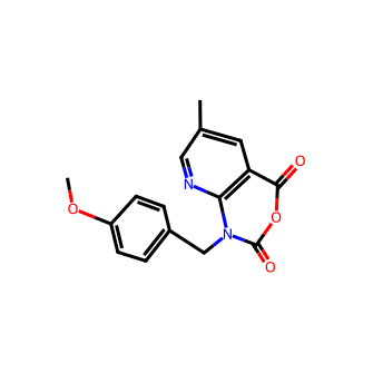 COc1ccc(Cn2c(=O)oc(=O)c3cc(C)cnc32)cc1